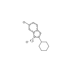 FC(F)(F)[s+]1c(C2CCCCC2)cc2ccc(Cl)cc21.[Cl-]